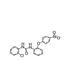 O=C(Nc1ccccc1Cl)Nc1ccccc1Oc1ccc([N+](=O)[O-])cc1